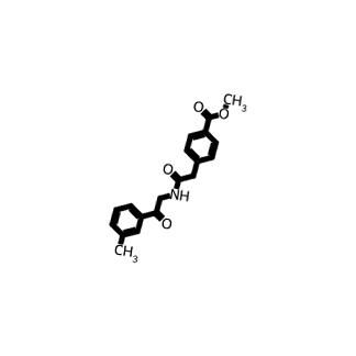 COC(=O)c1ccc(CC(=O)NCC(=O)c2cccc(C)c2)cc1